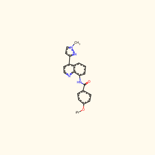 CC(C)Oc1ccc(C(=O)Nc2cccc3c(-c4ccn(C)n4)ccnc23)cc1